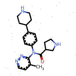 Cc1ccnnc1N(C(=O)C1CCNC1)c1ccc(C2CCNCC2)cc1